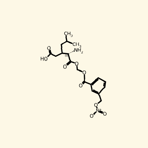 CC(C)CC(CC(=O)O)[C@H](N)C(=O)OCOC(=O)c1cccc(CO[N+](=O)[O-])c1